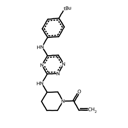 C=CC(=O)N1CCCC(Nc2nncc(Nc3ccc(C(C)(C)C)cc3)n2)C1